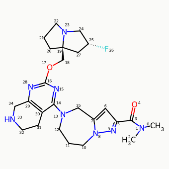 CN(C)C(=O)c1cc2n(n1)CCCN(c1nc(OC[C@@]34CCCN3C[C@H](F)C4)nc3c1CCNC3)C2